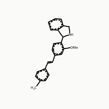 COc1cc(C=Cc2ccc(C)cc2)ccc1C1NCc2ccccc21